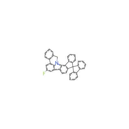 Fc1cc2c3c(c1)c1ccc4c(c1n3Cc1ccccc1-2)-c1ccccc1C41c2ccccc2-c2ccccc21